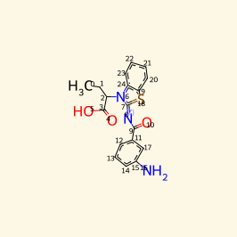 CCC(C(=O)O)n1/c(=N/C(=O)c2cccc(N)c2)sc2ccccc21